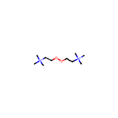 C[N+](C)(C)CCOOCC[N+](C)(C)C